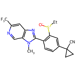 CC[S+]([O-])c1cc(C2(C#N)CC2)ccc1-c1nc2cc(C(F)(F)F)ncc2n1C